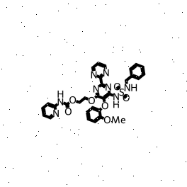 COc1ccccc1Oc1c(NS(=O)(=O)NCc2ccccc2)nc(-c2ncccn2)nc1OCCOC(=O)Nc1ccccn1